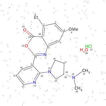 CCc1cc(OC)cc2nc(-c3cccnc3N3CC[C@H](N(C)C)C3)oc(=O)c12.Cl.O